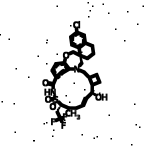 C[C@H]1C/C=C/[C@H](O)C2CCC2CN2C[C@@]3(CCCc4cc(Cl)ccc43)COc3ccc(cc32)C(=O)NS(=O)(=O)[C@H]1CC(F)(F)F